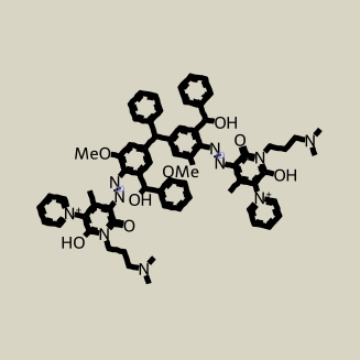 COc1cc(C(c2ccccc2)c2cc(OC)c(/N=N/c3c(C)c(-[n+]4ccccc4)c(O)n(CCCN(C)C)c3=O)c(C(O)c3ccccc3)c2)cc(C(O)c2ccccc2)c1/N=N/c1c(C)c(-[n+]2ccccc2)c(O)n(CCCN(C)C)c1=O